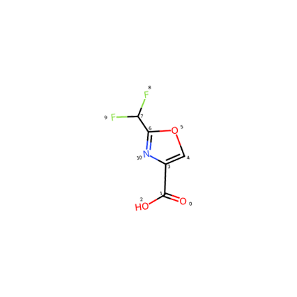 O=C(O)c1coc(C(F)F)n1